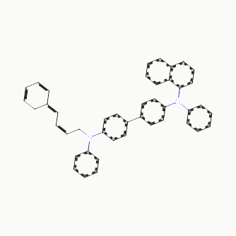 C1=CC/C(=C\C=C/CN(c2ccccc2)c2ccc(-c3ccc(N(c4ccccc4)c4cccc5ccccc45)cc3)cc2)C=C1